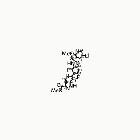 CNC(=O)c1n[nH]c2c(F)c(-c3c(F)ccc(NS(=O)(=O)c4cc(Cl)cnc4OC)c3F)ncc12